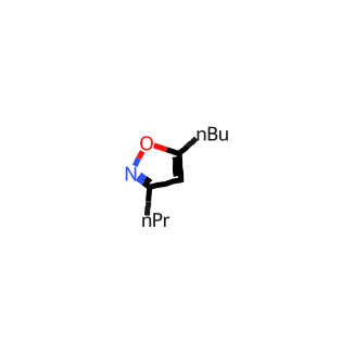 [CH2]CCc1cc(CCCC)on1